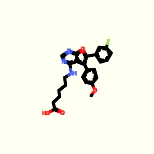 COc1ccc(-c2c(-c3cccc(F)c3)oc3ncnc(NCCCCCC(=O)O)c23)cc1